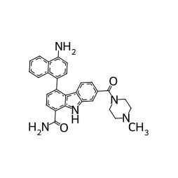 CN1CCN(C(=O)c2ccc3c(c2)[nH]c2c(C(N)=O)ccc(-c4ccc(N)c5ccccc45)c23)CC1